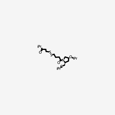 CC(C)OC[C@@H]1C[C@@H](OC(C)C)CN1C(=O)CCCSSCCC(=O)C(C)C